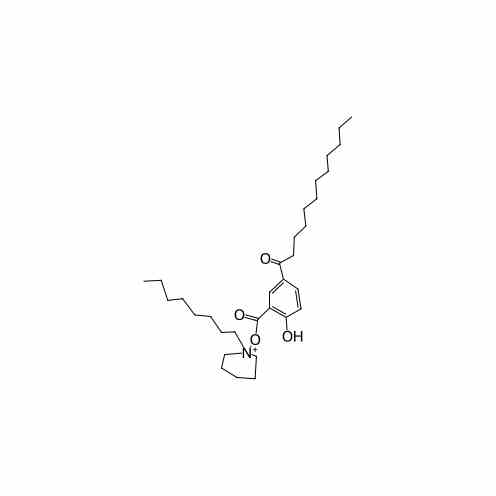 CCCCCCCCCCCC(=O)c1ccc(O)c(C(=O)O[N+]2(CCCCCCCC)CCCCC2)c1